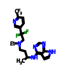 CCN(CCC(C)Nc1ncnc2[nH]ccc12)CC(F)(F)c1ccc(C(F)(F)F)nc1